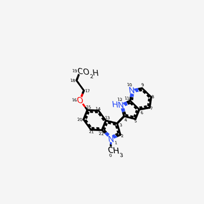 Cn1cc(-c2cc3cccnc3[nH]2)c2cc(OCCC(=O)O)ccc21